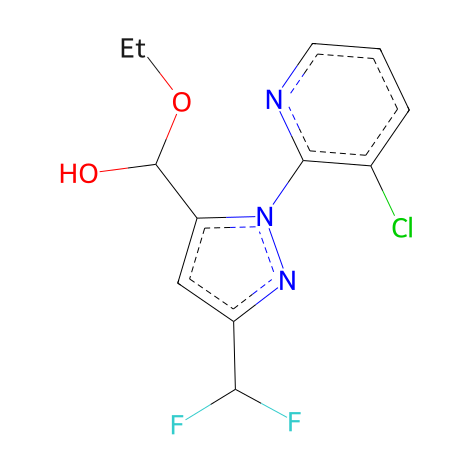 CCOC(O)c1cc(C(F)F)nn1-c1ncccc1Cl